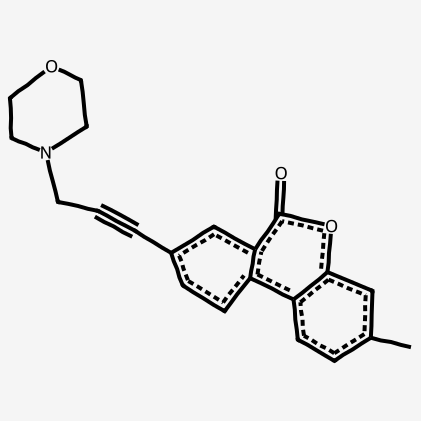 Cc1ccc2c(c1)oc(=O)c1cc(C#CCN3CCOCC3)ccc12